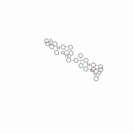 c1ccc(-c2ccc(-c3ccccc3N(c3ccc4c(c3)C3(c5ccccc5-4)c4ccccc4-n4c5cccc(-c6ccc(C7(c8ccccc8)c8ccccc8-c8c(N(c9ccc%10c(c9)C9(c%11ccccc%11-%10)c%10ccccc%10-n%10c%11ccccc%11c%11cccc9c%11%10)c9ccccc9-c9ccc(-c%10ccccc%10)cc9)cccc87)cc6)c5c5cccc3c54)c3ccc4sc5ccccc5c4c3)cc2)cc1